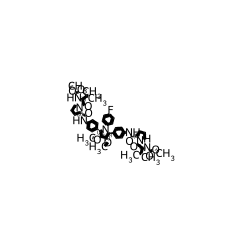 COC(=O)N[C@H](C(=O)N1CCC[C@H]1C(=O)Nc1ccc([C@H]2[C@@H](OC)[C@H](OC)[C@H](c3ccc(NC(=O)[C@@H]4CCCN4C(=O)[C@@H](NC(=O)OC)C(C)C)cc3)N2c2ccc(F)cc2)cc1)C(C)C